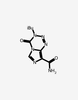 CCC(C)n1nnc2c(C(N)=O)ncn2c1=O